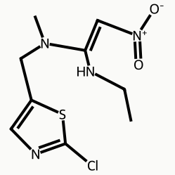 CCNC(=C[N+](=O)[O-])N(C)Cc1cnc(Cl)s1